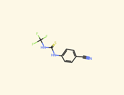 N#Cc1ccc(NC(=S)NC(F)(F)F)cc1